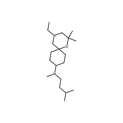 CCN1CC(C)(C)OC2(CCC(N(C)CCC(C)C)CC2)C1